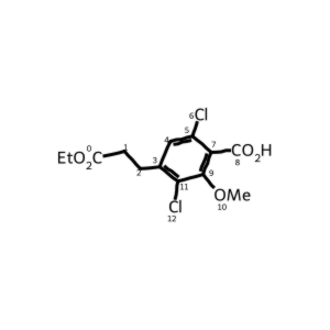 CCOC(=O)CCc1cc(Cl)c(C(=O)O)c(OC)c1Cl